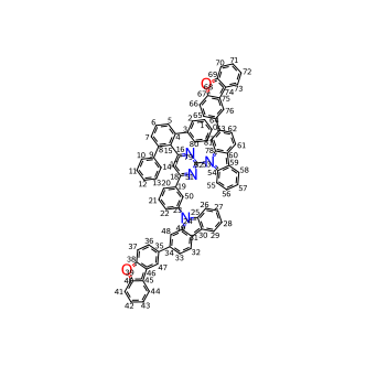 c1ccc(-c2cccc(-c3ccccc3)c2-c2cc(-c3cccc(-n4c5ccccc5c5ccc(-c6ccc7oc8ccccc8c7c6)cc54)c3)nc(-n3c4ccccc4c4ccc(-c5ccc6oc7ccccc7c6c5)cc43)n2)cc1